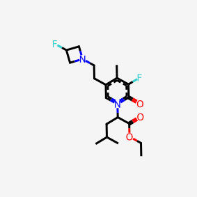 CCOC(=O)C(CC(C)C)n1cc(CCN2CC(F)C2)c(C)c(F)c1=O